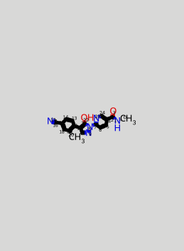 CNC(=O)c1ccc(-n2ncc(-c3ccc(C#N)cc3C)c2O)nc1